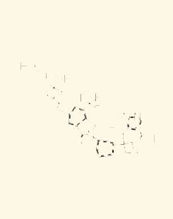 CCCC1(O)CN(Cc2cc3c(c(C(F)(F)F)c2)CN(c2cccc(C4([C@H](F)c5nncn5C)COC4)c2)C3=O)C1